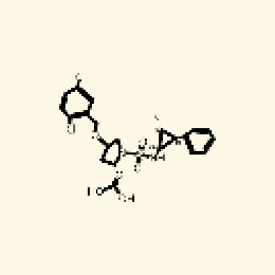 C[C@H]1[C@H](NS(=O)(=O)N2CCC(OCc3cc(Cl)ccc3Cl)C2)[C@H]1c1ccccc1.O=C(O)O